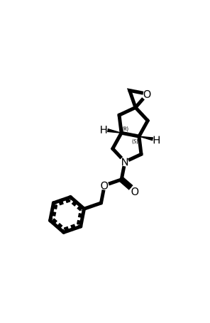 O=C(OCc1ccccc1)N1C[C@@H]2CC3(CO3)C[C@@H]2C1